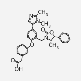 Cc1ncc(-c2ccc(Oc3cccc(CC(=O)O)c3)c(CN3C(=O)O[C@H](c4ccccc4)[C@@H]3C)c2)n1C